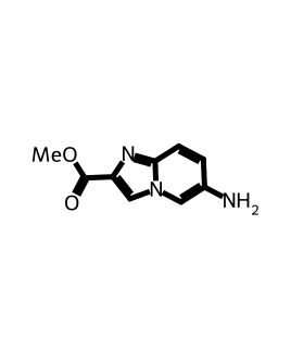 COC(=O)c1cn2cc(N)ccc2n1